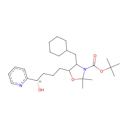 CC(C)(C)OC(=O)N1C(CC2CCCCC2)C(CCC[C@H](O)c2ccccn2)OC1(C)C